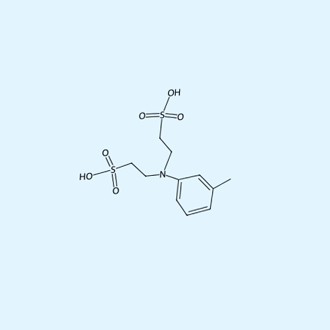 Cc1cccc(N(CCS(=O)(=O)O)CCS(=O)(=O)O)c1